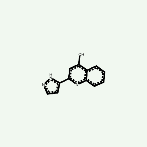 Oc1cc(-c2ccn[nH]2)nc2ccccc12